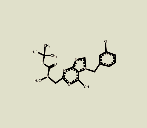 CN(Cc1nc(O)c2c(ncn2Cc2cccc(Cl)c2)n1)C(=O)OC(C)(C)C